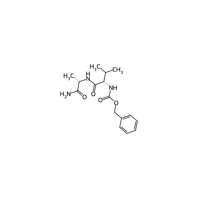 CC(C)[C@H](NC(=O)OCc1ccccc1)C(=O)N[C@@H](C)C(N)=O